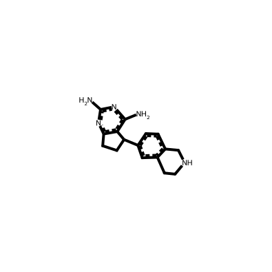 Nc1nc(N)c2c(n1)CCC2c1ccc2c(c1)CCNC2